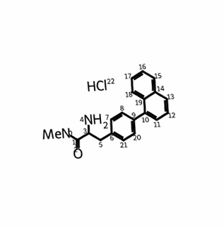 CNC(=O)C(N)Cc1ccc(-c2cccc3ccccc23)cc1.Cl